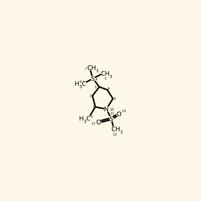 CC1CC(S(C)(C)C)CCN1S(C)(=O)=O